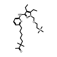 CCc1c(Nc2cccc(CCCCCC(C)(C)C(C)=O)n2)nn(COCC[Si](C)(C)C)c1CC